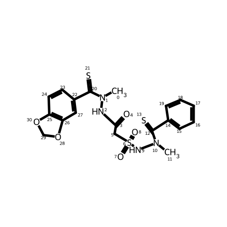 CN(NC(=O)CS(=O)(=O)NN(C)C(=S)c1ccccc1)C(=S)c1ccc2c(c1)OCO2